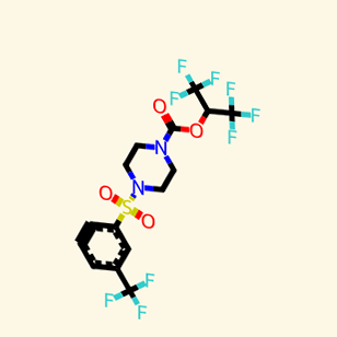 O=C(OC(C(F)(F)F)C(F)(F)F)N1CCN(S(=O)(=O)c2c#ccc(C(F)(F)F)c2)CC1